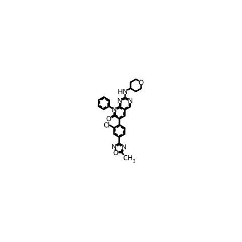 Cc1nc(-c2ccc(-c3cc4cnc(NC5CCOCC5)nc4n(-c4ccccc4)c3=O)c(Cl)c2)no1